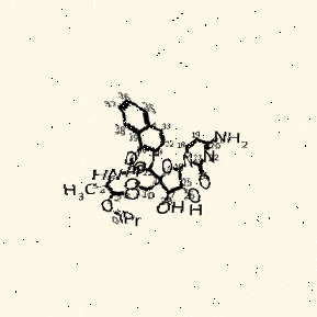 CC(C)OC(=O)[C@H](C)NP(=O)(OC[C@@]1(C(F)F)O[C@@H](n2ccc(N)nc2=O)[C@H](O)[C@H]1O)Oc1cccc2ccccc12